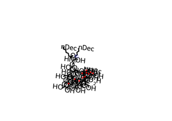 CCCCCCCCCCCCC/C=C/[C@@H](O)[C@H](CO[C@@H]1OC(CO)[C@@H](O[C@@H]2OC(CO)[C@H](O[C@@H]3OC(CO)[C@H](O)[C@H](O)C3NC(C)=O)[C@H](O[C@@H]3OC(CO)[C@@H](O[C@@H]4OC(CO)[C@H](O[C@@H]5OC(CO)[C@H](O)[C@H](O)C5NC(C)=O)[C@H](O[C@]5(C(=O)O)CC(O)[C@@H](NC(C)=O)C([C@H](O)[C@H](O)CO)O5)C4O)[C@H](O)C3NC(C)=O)C2O)[C@H](O)C1O)NC(=O)CCCCCCCCCCCCCCC